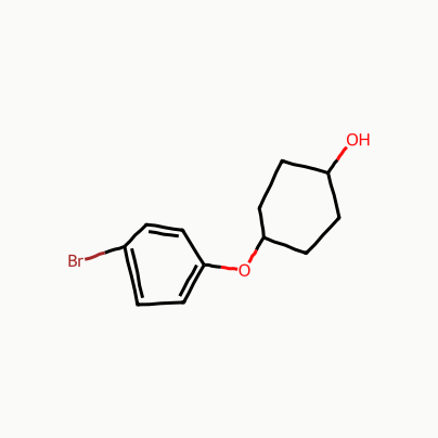 OC1CCC(Oc2ccc(Br)cc2)CC1